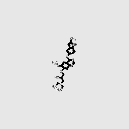 CCN(CC)CC(O)COc1cc2ncnc(Oc3ccc4[nH]c(C)cc4c3)c2cc1OC